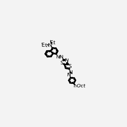 CCCCCCCCc1ccc(N=Nc2cc3sc(N=Nc4ccc(N(CC)CC)c5ccccc45)nc3s2)cc1